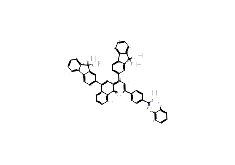 C/C(=N\c1ccccc1C)c1ccc(-c2cc(-c3ccc4c(c3)C(C)(C)c3ccccc3-4)c3cc(-c4ccc5c(c4)C(C)(C)c4ccccc4-5)c4ccccc4c3n2)cc1